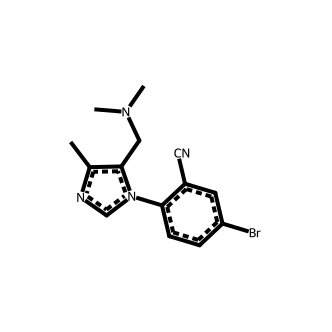 Cc1ncn(-c2ccc(Br)cc2C#N)c1CN(C)C